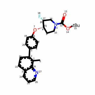 Cc1c(-c2ccc(O[C@H]3CCN(C(=O)OC(C)(C)C)C[C@H]3F)cc2)ccc2cccnc12